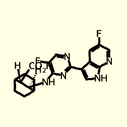 O=C(O)[C@H]1C2CCC(CC2)[C@@H]1Nc1nc(-c2c[nH]c3ncc(F)cc23)ncc1F